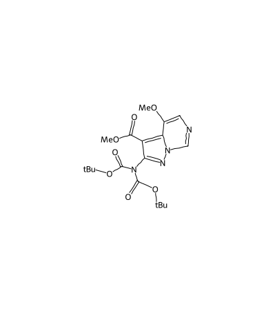 COC(=O)c1c(N(C(=O)OC(C)(C)C)C(=O)OC(C)(C)C)nn2cncc(OC)c12